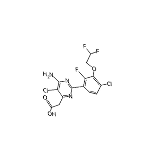 Nc1nc(-c2ccc(Cl)c(OCC(F)F)c2F)nc(CC(=O)O)c1Cl